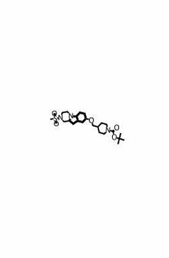 CC(C)(C)OC(=O)N1CCC(COc2ccc3c(c2)cc2n3CCN(S(C)(=O)=O)C2)CC1